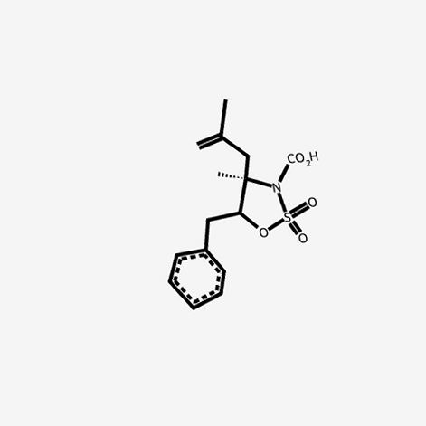 C=C(C)C[C@]1(C)C(Cc2ccccc2)OS(=O)(=O)N1C(=O)O